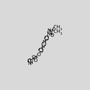 CCC(C)n1ncn(-c2ccc(N3CCN(c4ccc(OC[C@@H]5CO[C@@H](c6cccnn6)O5)cc4)CC3)cc2)c1=O